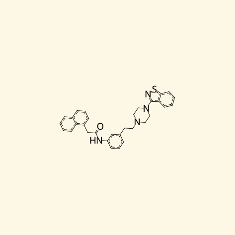 O=C(Cc1cccc2ccccc12)Nc1cccc(CCN2CCN(c3nsc4ccccc34)CC2)c1